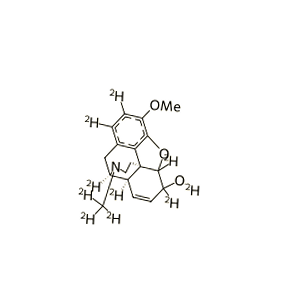 [2H]OC1([2H])C=C[C@@]2([2H])[C@@]3([2H])Cc4c([2H])c([2H])c(OC)c5c4[C@@]2(CCN3C([2H])([2H])[2H])C1([2H])O5